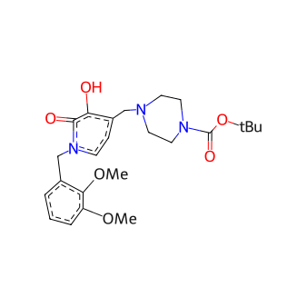 COc1cccc(Cn2ccc(CN3CCN(C(=O)OC(C)(C)C)CC3)c(O)c2=O)c1OC